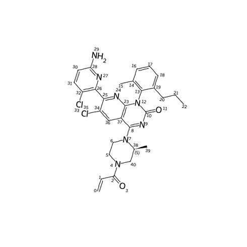 C=CC(=O)N1CCN(c2nc(=O)n(-c3c(C)cccc3CCC)c3nc(-c4nc(N)ccc4Cl)c(Cl)cc23)[C@@H](C)C1